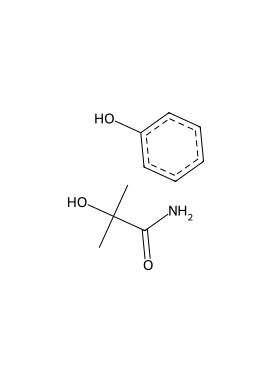 CC(C)(O)C(N)=O.Oc1ccccc1